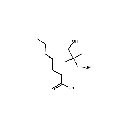 CC(C)(CO)CO.CCCCCCC(=O)O